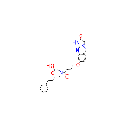 O=C(O)CN(CCCCC1CCCCC1)C(=O)CCCOc1ccc2c(c1)N=C1NC(=O)CN1C2